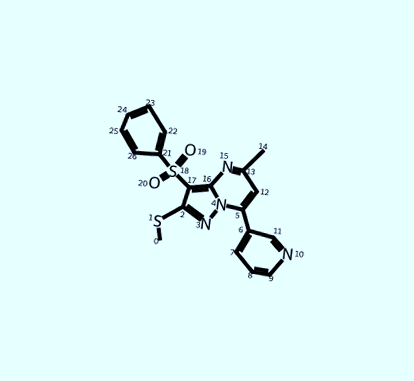 CSc1nn2c(-c3cccnc3)cc(C)nc2c1S(=O)(=O)c1ccccc1